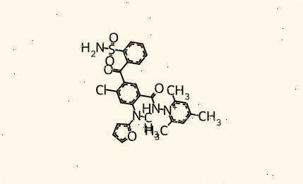 Cc1cc(C)[n+](NC(=O)c2cc(C(=O)c3ccccc3S(N)(=O)=O)c(Cl)cc2N(C)c2ccco2)c(C)c1